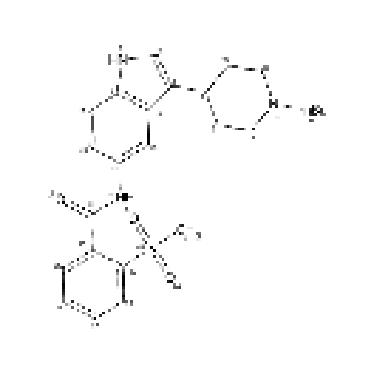 CCCCN1CCC(c2c[nH]c3ccc(NC(=O)c4ccccc4S(C)(=O)=O)cc23)CC1